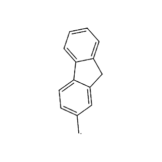 [CH2]c1ccc2c(c1)Cc1ccccc1-2